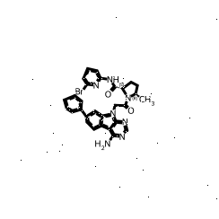 C[C@@H]1CC[C@@H](C(=O)Nc2cccc(Br)n2)N1C(=O)Cn1c2cc(-c3ccccc3)ccc2c2c(N)ncnc21